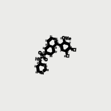 COc1cc(Cl)c(Cl)cc1-c1nccc2cc(S(=O)(=O)Nc3ccncn3)ccc12